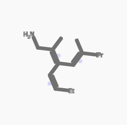 CC\C=C/C(/C=C(\C)C(C)C)=C(/C)CN